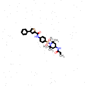 C=CC(=O)NC1CC(C)(C)N(S(=O)(=O)c2ccc(NC(=O)c3cc(-c4ccccc4)cs3)cc2)C(C)(C)C1